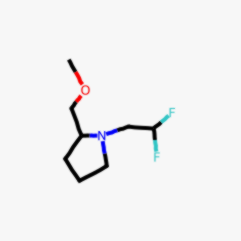 COCC1CCCN1CC(F)F